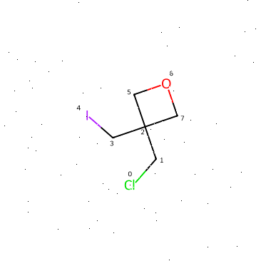 ClCC1(CI)COC1